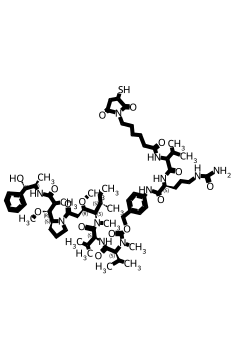 CC[C@H](C)[C@@H]([C@@H](CC(=O)N1CCC[C@H]1[C@H](OC)C(C)C(=O)N[C@H](C)[C@@H](O)c1ccccc1)OC)N(C)C(=O)[C@@H](NC(=O)[C@H](C(C)C)N(C)C(=O)OCc1ccc(NC(=O)[C@H](CCCNC(N)=O)NC(=O)C(NC(=O)CCCCCN2C(=O)CC(S)C2=O)C(C)C)cc1)C(C)C